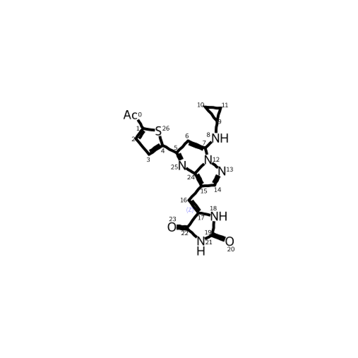 CC(=O)c1ccc(-c2cc(NC3CC3)n3ncc(/C=C4\NC(=O)NC4=O)c3n2)s1